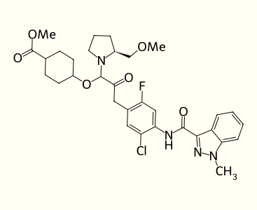 COC[C@@H]1CCCN1C(OC1CCC(C(=O)OC)CC1)C(=O)Cc1cc(Cl)c(NC(=O)c2nn(C)c3ccccc23)cc1F